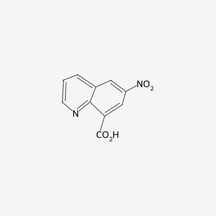 O=C(O)c1cc([N+](=O)[O-])cc2cccnc12